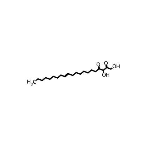 CCCCCCCCC=CCCCCCCCC(=O)C(O)C(=O)CO